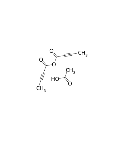 CC#CC(=O)OC(=O)C#CC.CC(=O)O